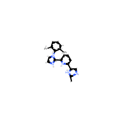 Cc1ncc(-c2cccc(-c3nccn3-c3c(C(C)C)cccc3C(C)C)n2)[nH]1